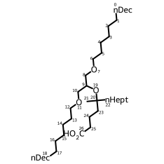 CCCCCCCCCCCCCCCCOCC(COCCCCCCCCCCCCCCCC)OC(C)(CCCCCCC)CCCC(=O)O